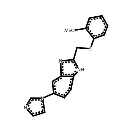 COc1ccccc1SCc1nc2cc(-n3ccnc3)ccc2[nH]1